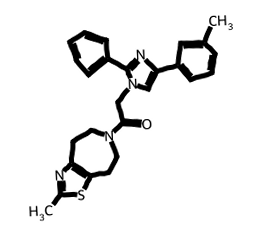 Cc1cccc(-c2cn(CC(=O)N3CCc4nc(C)sc4CC3)c(-c3ccccc3)n2)c1